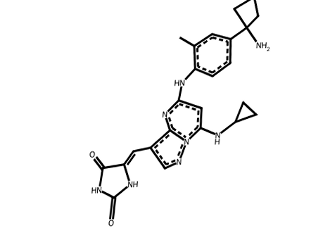 Cc1cc(C2(N)CCC2)ccc1Nc1cc(NC2CC2)n2ncc(/C=C3\NC(=O)NC3=O)c2n1